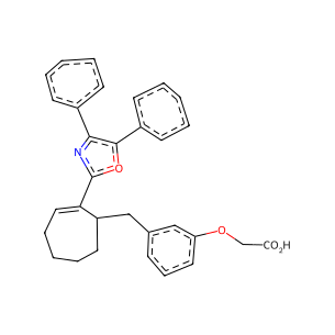 O=C(O)COc1cccc(CC2CCCCC=C2c2nc(-c3ccccc3)c(-c3ccccc3)o2)c1